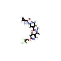 CC(c1ccc(OCC(F)(F)F)nc1)N(C)C(=O)c1ccnc(NC(=O)C2CC2)c1